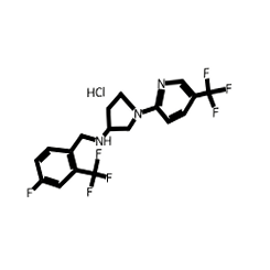 Cl.Fc1ccc(CNC2CCN(c3ccc(C(F)(F)F)cn3)C2)c(C(F)(F)F)c1